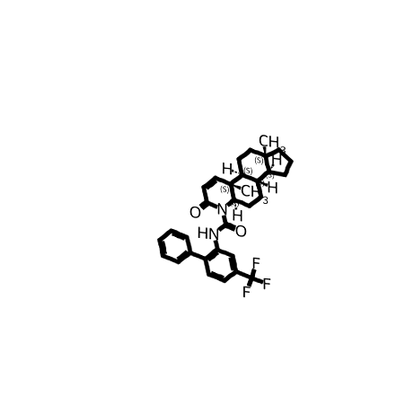 C[C@@]12CCC[C@H]1[C@@H]1CC[C@H]3N(C(=O)Nc4cc(C(F)(F)F)ccc4-c4ccccc4)C(=O)C=C[C@]3(C)[C@H]1CC2